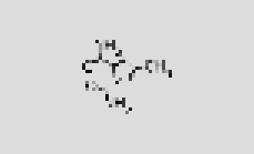 Cc1cc(C(N)=O)n(C(N)=O)c1